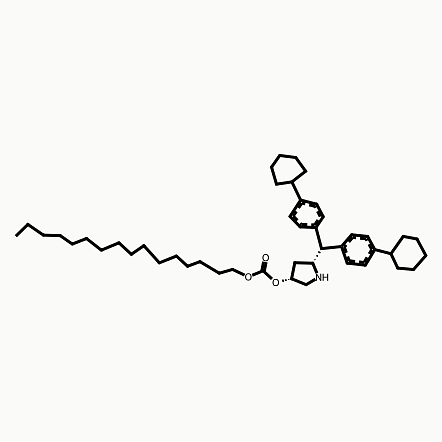 CCCCCCCCCCCCCCCCOC(=O)O[C@H]1CN[C@@H](C(c2ccc(C3CCCCC3)cc2)c2ccc(C3CCCCC3)cc2)C1